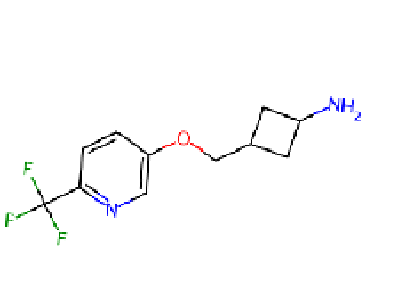 NC1CC(COc2ccc(C(F)(F)F)nc2)C1